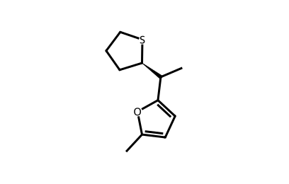 Cc1ccc(C(C)[C@H]2CCCS2)o1